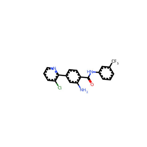 Nc1cc(-c2ncccc2Cl)ccc1C(=O)Nc1cccc(C(F)(F)F)c1